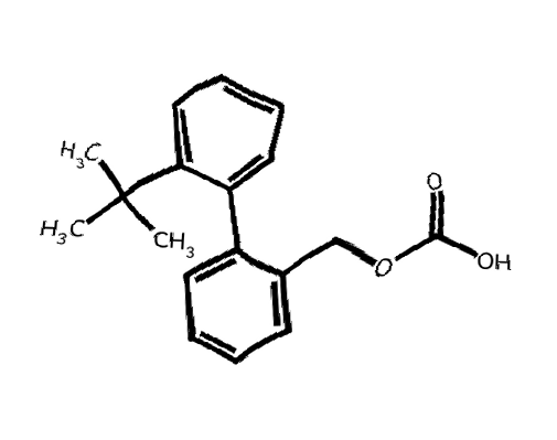 CC(C)(C)c1ccccc1-c1ccccc1COC(=O)O